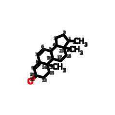 CC1CCC2C3C=CC4=CC(=O)CCC4(C)C3CCC12C